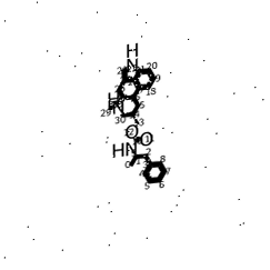 CC(Cc1ccccc1)NC(=O)OC[C@@H]1CC2c3cccc4[nH]cc(c34)C[C@H]2N(C)C1